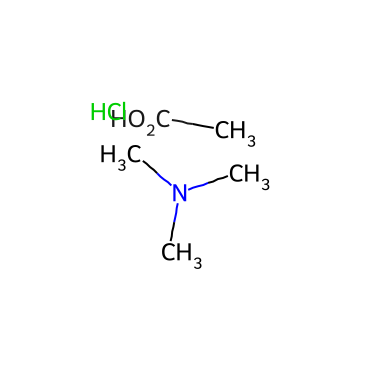 CC(=O)O.CN(C)C.Cl